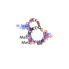 CC[C@H](C)[C@@H]1NC(=O)[C@H](CC(=O)OOC)NC(=O)[C@H](CCSC)NC(=O)[C@@H]2CCCN2C(=O)[C@@H]2CSCc3cc(cc(c3)OCCCCCCO/N=C/C(=O)N[C@@H](CCCNC(=N)N)C(=O)N2)CSC[C@@H](C(N)=O)NC(=O)[C@H]([C@@H](C)O)NC(=O)[C@@H]2CCCN2C1=O